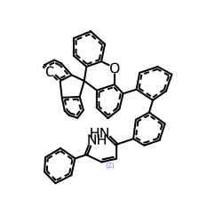 N=C(/C=C\C(=N)c1cccc(-c2ccccc2-c2cccc3c2Oc2ccccc2C32c3ccccc3-c3ccccc32)c1)c1ccccc1